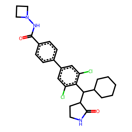 O=C(NN1CCC1)c1ccc(-c2cc(Cl)c(C(C3CCCCC3)C3CCNC3=O)c(Cl)c2)cc1